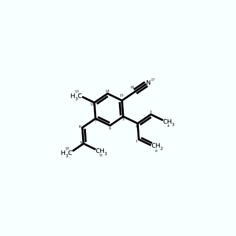 C=C/C(=C\C)c1cc(C=C(C)C)c(C)cc1C#N